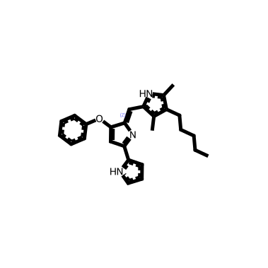 CCCCCc1c(C)[nH]c(/C=C2\N=C(c3ccc[nH]3)C=C2Oc2ccccc2)c1C